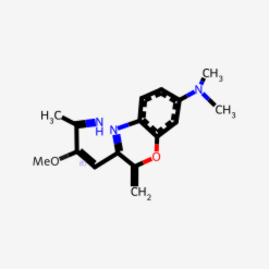 C=C1Oc2cc(N(C)C)ccc2N=C1/C=C(/OC)C(C)=N